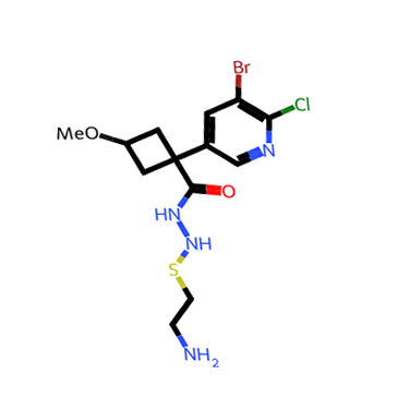 COC1CC(C(=O)NNSCCN)(c2cnc(Cl)c(Br)c2)C1